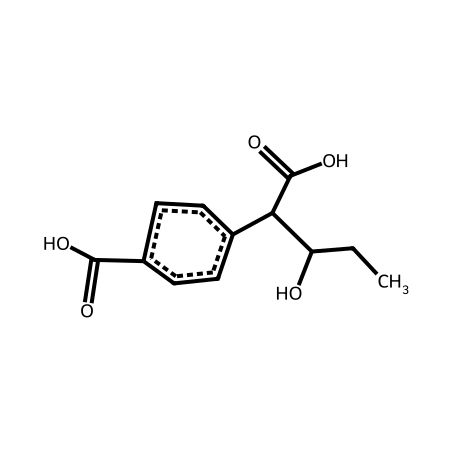 CCC(O)C(C(=O)O)c1ccc(C(=O)O)cc1